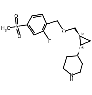 CS(=O)(=O)c1ccc(COC[C@H]2C[C@@H]2C2CCNCC2)c(F)c1